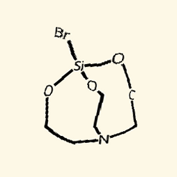 Br[Si]12OCCN(CCO1)CCO2